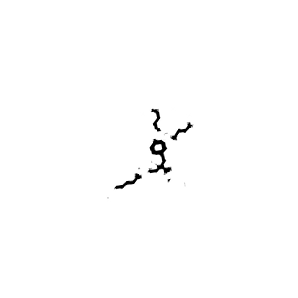 CCCCCC(=O)OCC[C@@](N)(Cc1ccc(OC(=O)CCC(C)C)c(OC(=O)CCC(C)C)c1)C(=O)OC